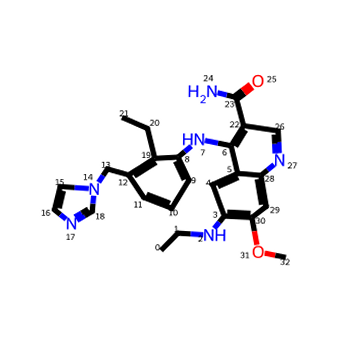 CCNc1cc2c(Nc3cccc(Cn4ccnc4)c3CC)c(C(N)=O)cnc2cc1OC